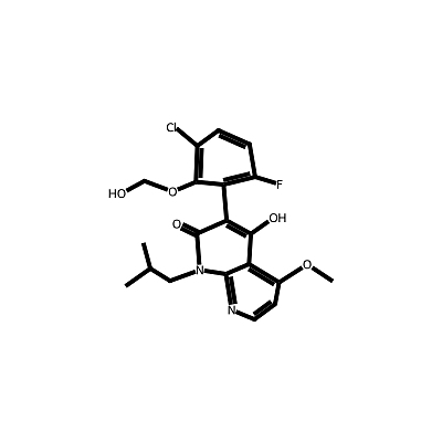 COc1ccnc2c1c(O)c(-c1c(F)ccc(Cl)c1OCO)c(=O)n2CC(C)C